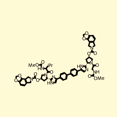 COC(=O)NCC(=O)N1C[C@H](OC(=O)N2Cc3ccc4c(c3C2)OCO4)C[C@H]1c1ncc(-c2ccc(-c3ccc(-c4c[nH]c([C@@H]5C[C@@H](OC(=O)N6Cc7ccc8c(c7C6)OCO8)CN5C(=O)C(NC(=O)OC)C(C)C)n4)cc3)cc2)[nH]1